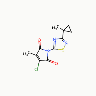 CC1=C(Cl)C(=O)N(c2nc(C3(C)CC3)ns2)C1=O